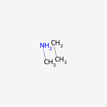 CC.CN